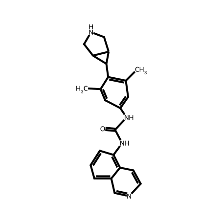 Cc1cc(NC(=O)Nc2cccc3cnccc23)cc(C)c1C1C2CNCC21